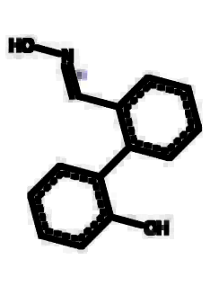 O/N=C/c1ccccc1-c1ccccc1O